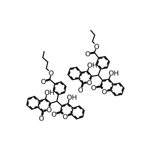 CCCCOC(=O)c1cccc(C(c2oc(=O)c3ccccc3c2O)c2c(O)c3ccccc3oc2=O)c1.CCCOC(=O)c1cccc(C(c2oc(=O)c3ccccc3c2O)c2c(O)c3ccccc3oc2=O)c1